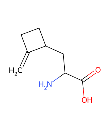 C=C1CCC1CC(N)C(=O)O